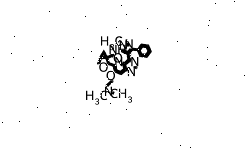 CN(C)CCOc1cc2ncnc(-c3cn(C)nc3-c3ccccc3)c2nc1C1OCC2CC21C(N)=O